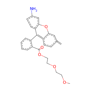 C=c1ccc2c(c1)Oc1cc(N)ccc1C=2c1ccccc1C(=O)OCCOCCOC